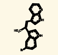 O=C(O)C(=Cc1c[nH]c2ncccc12)c1c[nH]c2ccc(Br)cc12